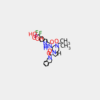 CC(C)C(=O)N1CC[C@H]2CC[C@@H](C(=O)N3CCc4ccccc4C3)N2C(=O)[C@@H](NC(=O)c2cc3cc(C(F)(F)P(=O)(O)O)ccc3[nH]2)C1